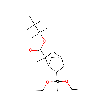 CCO[Si](C)(OCC)C1CC2CC1C(C)(C(=O)O[Si](C)(C)C(C)(C)C)C2